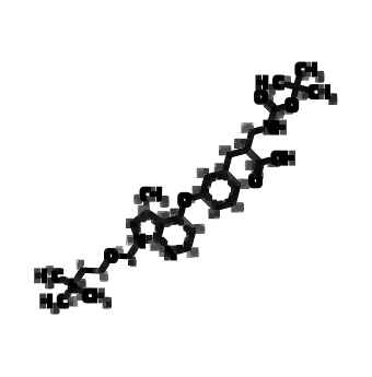 Cc1cn(COCCS(C)(C)C)c2nccc(Oc3cccc(CC(CNC(=O)OC(C)(C)C)C(=O)O)c3)c12